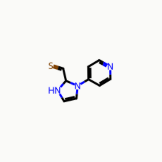 S=CC1NC=CN1c1ccncc1